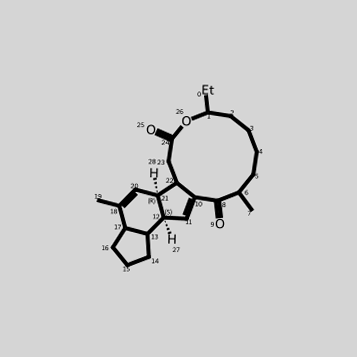 CCC1CCCCC(C)C(=O)C2=C[C@H]3C4CCCC4C(C)=C[C@H]3C2CC(=O)O1